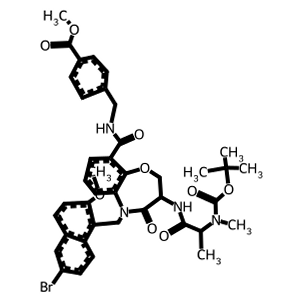 COC(=O)c1ccc(CNC(=O)c2cccc3c2OCC(NC(=O)C(C)N(C)C(=O)OC(C)(C)C)C(=O)N3Cc2c(OC)ccc3cc(Br)ccc23)cc1